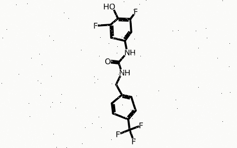 O=C(NCc1ccc(C(F)(F)F)cc1)Nc1cc(F)c(O)c(F)c1